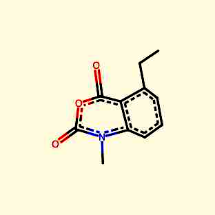 CCc1cccc2c1c(=O)oc(=O)n2C